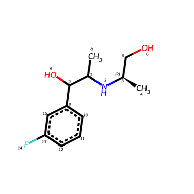 CC(N[C@H](C)CO)C(O)c1cccc(F)c1